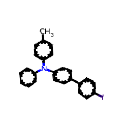 Cc1ccc(N(c2ccccc2)c2ccc(-c3ccc(I)cc3)cc2)cc1